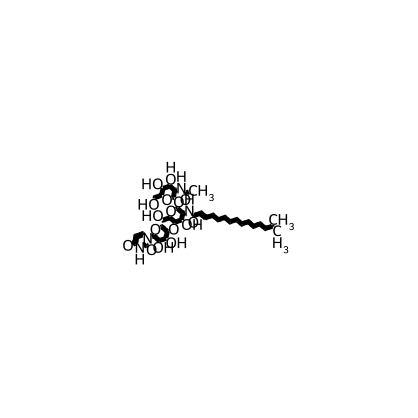 CC(=O)NC1C(OC2OC(CO)C(OC3COC(n4ccc(=O)[nH]c4=O)C(O)C3O)C(O)C2NC(=O)C=CCCCCCCCCCCC(C)C)OC(CO)C(O)C1O